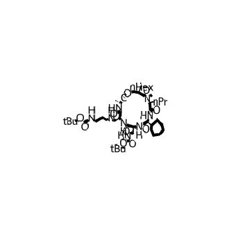 CCCCCC[C@H]1OC[C@@H](C)NC(=O)[C@H](CNCCCNC(=O)OC(C)(C)C)NC(=O)[C@H](CNC(=O)OC(C)(C)C)NC(=O)[C@H](C2CCCCCC2)NC(=O)[C@H](CCC)N(C)C(=O)[C@@H]1C